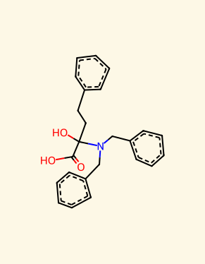 O=C(O)C(O)(CCc1ccccc1)N(Cc1ccccc1)Cc1ccccc1